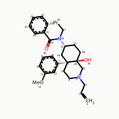 C=CCN1CC[C@@]2(c3cccc(OC)c3)C[C@H](N(CC(C)C)C(=O)c3ccccc3)CC[C@]2(O)C1